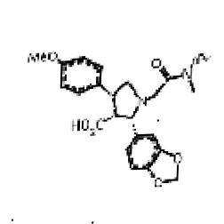 CCCN(C)C(=O)CN1C[C@H](c2ccc(OC)cc2)[C@H](C(=O)O)[C@H]1c1ccc2c(c1)OCO2